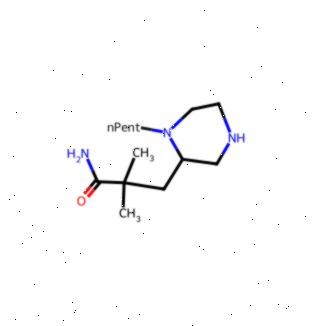 CCCCCN1CCNCC1CC(C)(C)C(N)=O